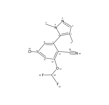 Cc1cnn(C)c1-c1cc(Cl)cc(OC(F)F)c1C#N